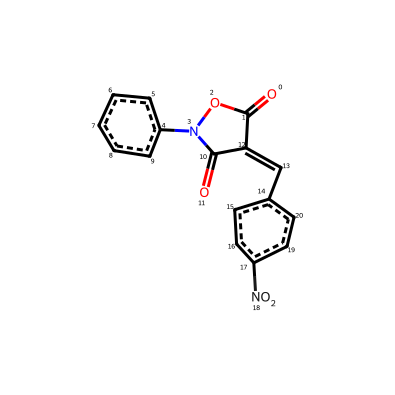 O=C1ON(c2ccccc2)C(=O)C1=Cc1ccc([N+](=O)[O-])cc1